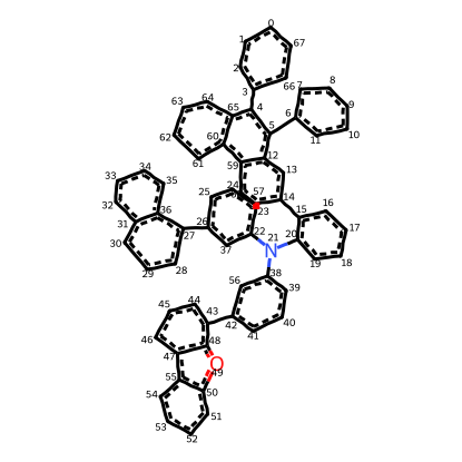 c1ccc(-c2c(-c3ccccc3)c3cc(-c4ccccc4N(c4cccc(-c5cccc6ccccc56)c4)c4cccc(-c5cccc6c5oc5ccccc56)c4)ccc3c3ccccc23)cc1